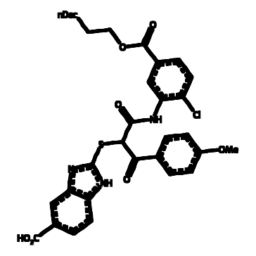 CCCCCCCCCCCCOC(=O)c1ccc(Cl)c(NC(=O)C(Sc2nc3cc(C(=O)O)ccc3[nH]2)C(=O)c2ccc(OC)cc2)c1